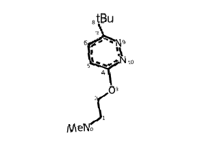 CNCCOc1ccc(C(C)(C)C)nn1